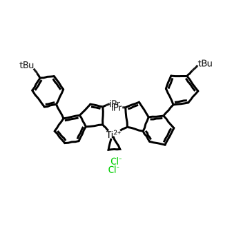 CC(C)C1=Cc2c(-c3ccc(C(C)(C)C)cc3)cccc2[CH]1[Ti+2]1([CH]2C(C(C)C)=Cc3c(-c4ccc(C(C)(C)C)cc4)cccc32)[CH2][CH2]1.[Cl-].[Cl-]